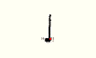 CC(=N)C(=O)O.CCC(=O)O.CCCCCCCCCCCCCCCCCCCCCCCC